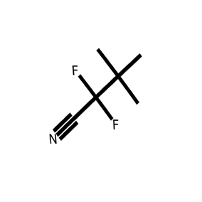 CC(C)(C)C(F)(F)C#N